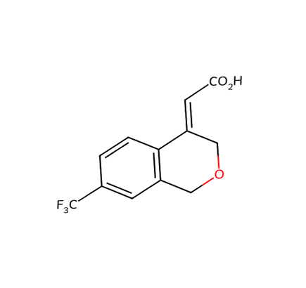 O=C(O)C=C1COCc2cc(C(F)(F)F)ccc21